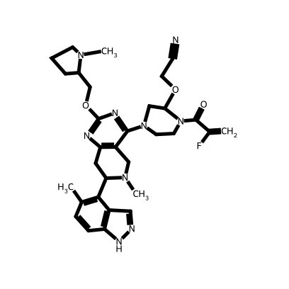 C=C(F)C(=O)N1CCN(c2nc(OCC3CCCN3C)nc3c2CN(C)C(c2c(C)ccc4[nH]ncc24)C3)CC1OCC#N